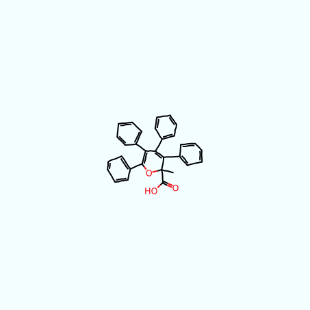 CC1(C(=O)O)OC(c2ccccc2)=C(c2ccccc2)C(c2ccccc2)=C1c1ccccc1